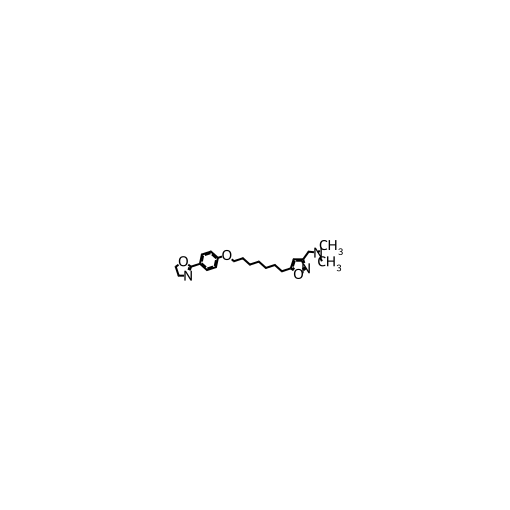 CN(C)Cc1cc(CCCCCCCOc2ccc(C3=NCCO3)cc2)on1